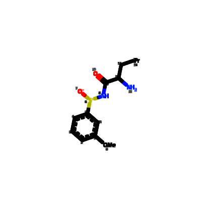 COc1cccc([S+]([O-])NC(=O)C(N)CC(C)C)c1